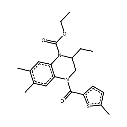 CCOC(=O)N1c2cc(C)c(C)cc2N(C(=O)c2ccc(C)s2)CC1CC